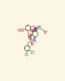 CN([C@@H]1CC[C@@]2(O)[C@H]3Cc4ccc(O)c5c4[C@@]2(CCN3CC2CC2)[C@H]1O5)S(=O)(=O)Cc1ccc(Cl)c(Cl)c1